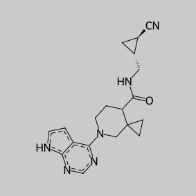 N#C[C@@H]1C[C@H]1CNC(=O)C1CCN(c2ncnc3[nH]ccc23)CC12CC2